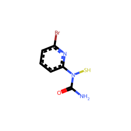 NC(=O)N(S)c1cccc(Br)n1